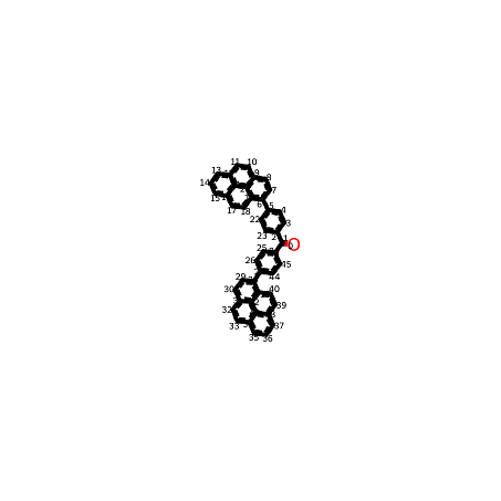 O=C(c1ccc(-c2ccc3ccc4cccc5ccc2c3c45)cc1)c1ccc(-c2ccc3ccc4cccc5ccc2c3c45)cc1